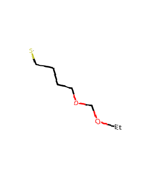 CCOCOCCCC[S]